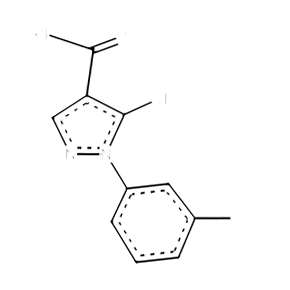 O=C(Cl)c1cnn(-c2cccc(Cl)c2)c1C(F)(F)F